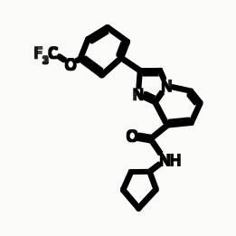 O=C(NC1CCCC1)c1cccn2cc(-c3cccc(OC(F)(F)F)c3)nc12